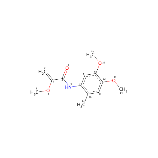 C=C(OC)C(=O)Nc1cc(OC)c(OC)cc1C